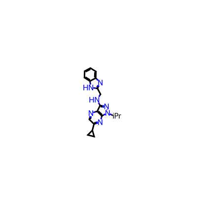 CC(C)n1nc(NCc2nc3ccccc3[nH]2)c2ncc(C3CC3)nc21